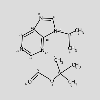 CC(C)(C)OC=O.CC(C)n1cnc2cncnc21